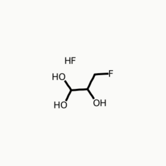 F.OC(O)C(O)CF